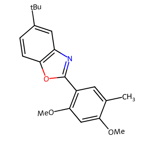 COc1cc(OC)c(-c2nc3cc(C(C)(C)C)ccc3o2)cc1C